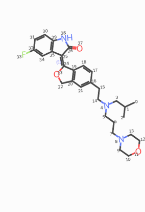 CC(C)CN(CCCN1CCOCC1)CCc1ccc2c(c1)CO/C2=C1/C(=O)Nc2ccc(F)cc21